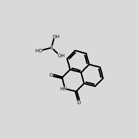 O=C1NC(=O)c2cccc3cccc1c23.OB(O)O